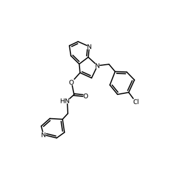 O=C(NCc1ccncc1)Oc1cn(Cc2ccc(Cl)cc2)c2ncccc12